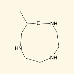 CC1CNCCNCCNC1